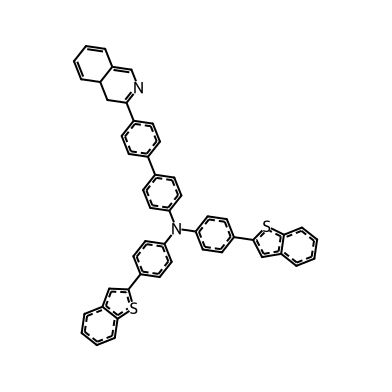 C1=CC2=CN=C(c3ccc(-c4ccc(N(c5ccc(-c6cc7ccccc7s6)cc5)c5ccc(-c6cc7ccccc7s6)cc5)cc4)cc3)CC2C=C1